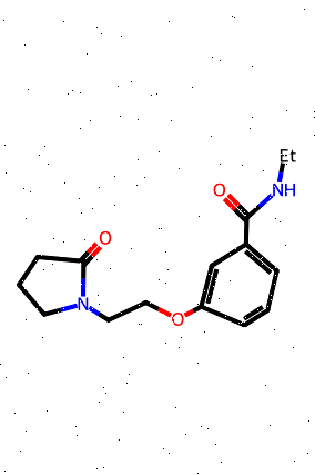 CCNC(=O)c1cccc(OCCN2CCCC2=O)c1